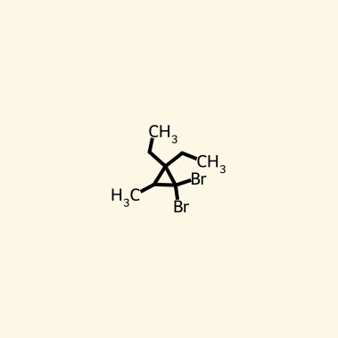 CCC1(CC)C(C)C1(Br)Br